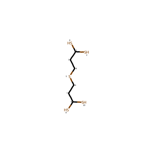 SC(S)CCSCCC(S)S